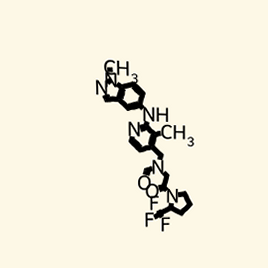 Cc1c(CN(C=O)CC(=O)N2CCCC2C(F)(F)F)ccnc1Nc1ccc2c(cnn2C)c1